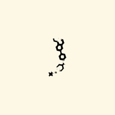 CCc1nccc2cc(-c3ccc(OC4CCN(C(=O)OC(C)(C)C)CC4)cc3)ccc12